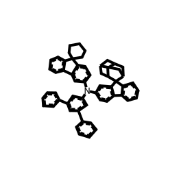 c1ccc(-c2cc(-c3ccccc3)cc(N(c3ccc4c(c3)-c3ccccc3C43CCCCC3)c3ccc4c(c3)C3(c5ccccc5-4)C4CC5CC(C4)CC3C5)c2)cc1